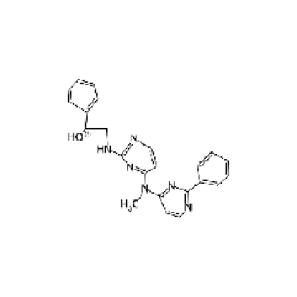 CN(c1ccnc(NC[C@@H](O)c2ccccc2)n1)c1ccnc(-c2ccccc2)n1